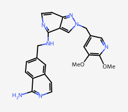 COc1cc(Cn2cc3c(NCc4ccc5c(N)nccc5c4)nccc3n2)cnc1OC